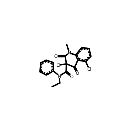 CCN(C(=O)C1(Cl)C(=O)c2c(Cl)cccc2N(C)C1=O)c1ccccc1